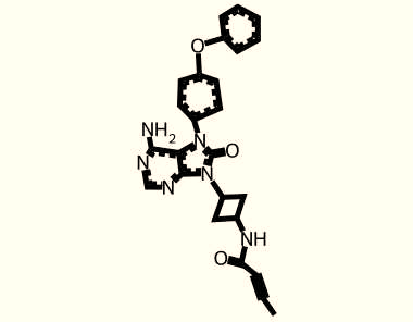 CC#CC(=O)NC1CC(n2c(=O)n(-c3ccc(Oc4ccccc4)cc3)c3c(N)ncnc32)C1